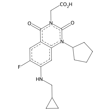 O=C(O)Cn1c(=O)c2cc(F)c(NCC3CC3)cc2n(C2CCCC2)c1=O